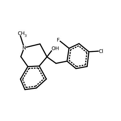 CN1Cc2ccccc2C(O)(Cc2ccc(Cl)cc2F)C1